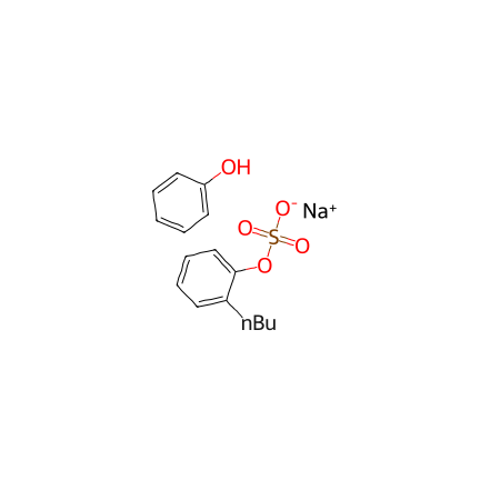 CCCCc1ccccc1OS(=O)(=O)[O-].Oc1ccccc1.[Na+]